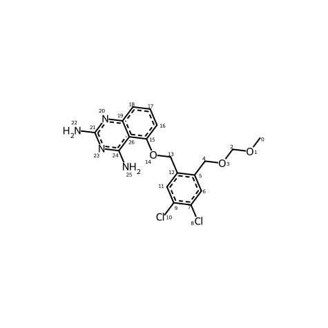 COCOCc1cc(Cl)c(Cl)cc1COc1cccc2nc(N)nc(N)c12